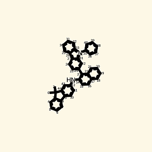 CC1(C)c2ccccc2-c2ccc(Nc3ccc4ccccc4c3-c3ccc4c5ccccc5n(-c5ccccc5)c4c3)cc21